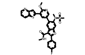 CNC(=O)c1c(-c2ccc(F)cc2)oc2cc(N(C)S(C)(=O)=O)c(-c3cnc(OC)c(-c4cc5ncccc5s4)c3)cc12